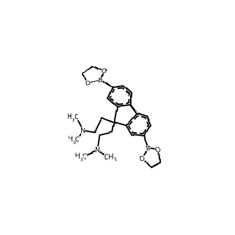 CN(C)CCC1(CCN(C)C)c2cc(B3OCCO3)ccc2-c2ccc(B3OCCO3)cc21